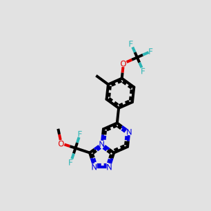 COC(F)(F)c1nnc2cnc(-c3ccc(OC(F)(F)F)c(C)c3)cn12